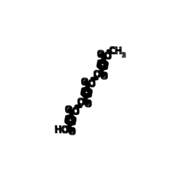 CCOC(=O)c1ccc(C(=O)OCCOC(=O)c2ccc(C(=O)OCCOC(=O)c3ccc(C(=O)O)cc3)cc2)cc1